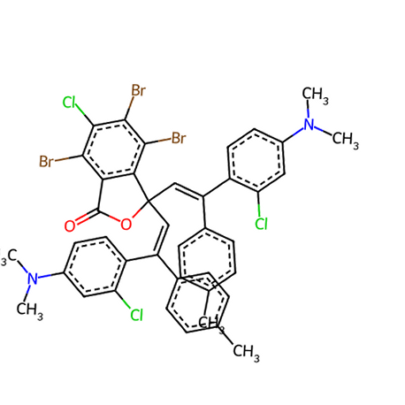 Cc1ccc(C(=CC2(C=C(c3ccc(C)cc3)c3ccc(N(C)C)cc3Cl)OC(=O)c3c(Br)c(Cl)c(Br)c(Br)c32)c2ccc(N(C)C)cc2Cl)cc1